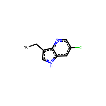 N#CCc1c[nH]c2cc(Cl)cnc12